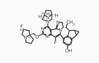 CCC1c2c(C3=C(F)c4nc(OC[C@@]56CCCN5C[C@H](F)C6)nc(N5C[C@H]6CC[C@@H](C5)N6)c4C4=NCCN43)cc(O)cc2C2CC21